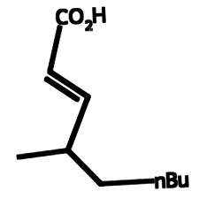 CCCCCC(C)C=CC(=O)O